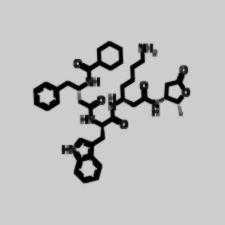 C[C@H]1OC(=O)C[C@H]1NC(=O)C[C@H](CCCCN)NC(=O)[C@@H](Cc1c[nH]c2ccccc12)NC(=O)C[C@H](Cc1ccccc1)NC(=O)C1CCCCC1